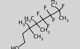 CC(C)(F)C(F)(F)C(F)(F)C(C)(C)C(C)(C)CCO